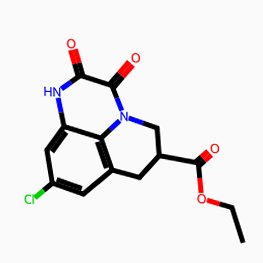 CCOC(=O)C1Cc2cc(Cl)cc3[nH]c(=O)c(=O)n(c23)C1